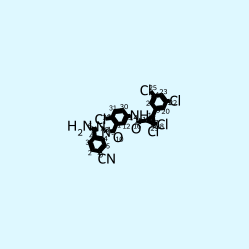 N#Cc1ccc2c(N)nn(C(=O)c3cc(NC(=O)C4C(c5cc(Cl)cc(Cl)c5)C4(Cl)Cl)ccc3Cl)c2c1